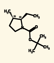 CC[C@@H]1[C@@H](C)CCN1C(=O)OC(C)(C)C